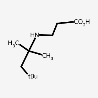 CC(C)(C)CC(C)(C)NCCC(=O)O